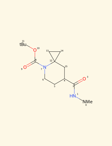 CNNC(=O)C1CCN(C(=O)OC(C)(C)C)C2(CC2)C1